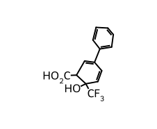 O=C(O)C1C=C(c2ccccc2)C=CC1(O)C(F)(F)F